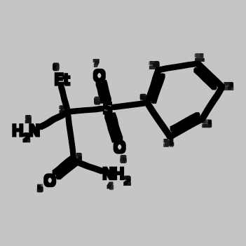 CCC(N)(C(N)=O)S(=O)(=O)c1ccccc1